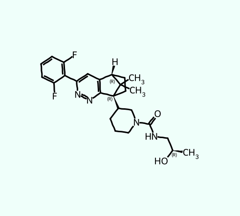 C[C@@H](O)CNC(=O)N1CCCC([C@@]23CC[C@@H](c4cc(-c5c(F)cccc5F)nnc42)C3(C)C)C1